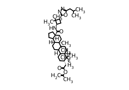 C=C(C)OC(=O)C[C@@H]1CC[C@]2(C)[C@H](CC[C@]3(C)[C@@H]2CC[C@@H]2[C@H]4CCC[C@]4(C(=O)N[C@@H]4C[C@H](c5nnc(CC(C)C)o5)C4(C)C)CC[C@]23C)C1(C)C